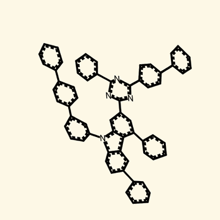 c1ccc(-c2ccc(-c3cccc(-n4c5ccc(-c6ccccc6)cc5c5c(-c6ccccc6)cc(-c6nc(-c7ccccc7)nc(-c7ccc(-c8ccccc8)cc7)n6)cc54)c3)cc2)cc1